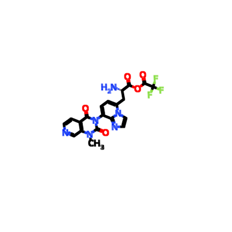 Cn1c(=O)n(-c2ccc(C[C@H](N)C(=O)OC(=O)C(F)(F)F)n3ccnc23)c(=O)c2ccncc21